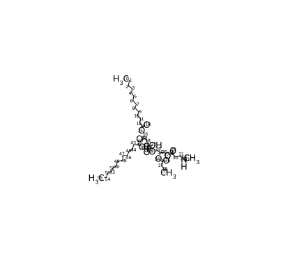 CCCCCCCCCCCCCC(=O)OC[C@H](COP(=O)(O)OCC(COC(=O)CCNC)OC(=O)CCC)OC(=O)CCCCCCCCCCCCC